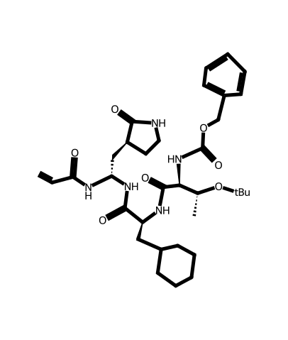 C=CC(=O)N[C@H](C[C@@H]1CCNC1=O)NC(=O)[C@H](CC1CCCCC1)NC(=O)[C@@H](NC(=O)OCc1ccccc1)[C@@H](C)OC(C)(C)C